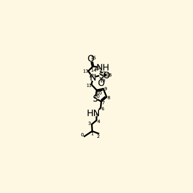 CC(C)CCNCc1ccc(CN2CC(=O)NS2(=O)=O)s1